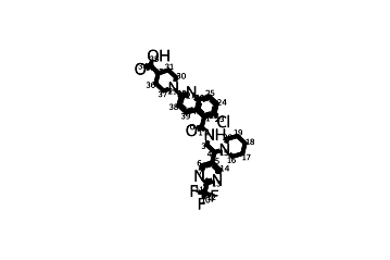 O=C(NCC(c1cnc(C(F)(F)F)nc1)N1CCCCC1)c1c(Cl)ccc2nc(N3CCC(C(=O)O)CC3)ccc12